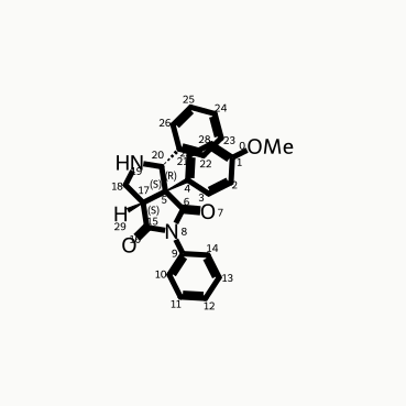 COc1ccc([C@@]23C(=O)N(c4ccccc4)C(=O)[C@@H]2CN[C@@H]3c2ccccc2)cc1